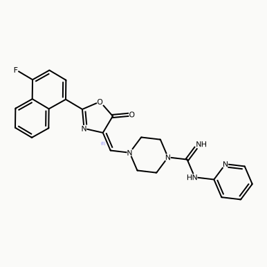 N=C(Nc1ccccn1)N1CCN(/C=C2/N=C(c3ccc(F)c4ccccc34)OC2=O)CC1